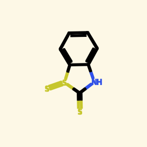 S=C1Nc2ccccc2S1=S